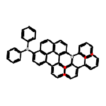 c1ccc(B(c2ccccc2)c2ccc3c4ccccc4c4c(N(c5ccccc5)c5ccccc5-c5ccccc5)ccc5ccc2c3c54)cc1